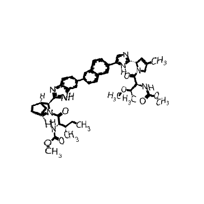 CC[C@H](C)[C@H](NC(=O)OC)C(=O)N1[C@H]2CC[C@H](C2)[C@H]1c1nc2ccc(-c3ccc4cc(-c5cnc([C@@H]6C=C(C)CN6C(=O)[C@@H](NC(=O)OC)[C@@H](C)OC)[nH]5)ccc4c3)cc2[nH]1